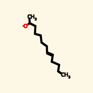 CCCCC=CCCCCCC(C)[O]